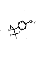 [CH2]c1ccc(C2(C(F)(F)F)N=N2)cc1